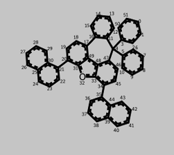 c1ccc(C2(c3ccccc3)c3ccccc3-c3ccc(-c4cccc5ccccc45)c4oc5c(-c6cccc7ccccc67)ccc2c5c34)cc1